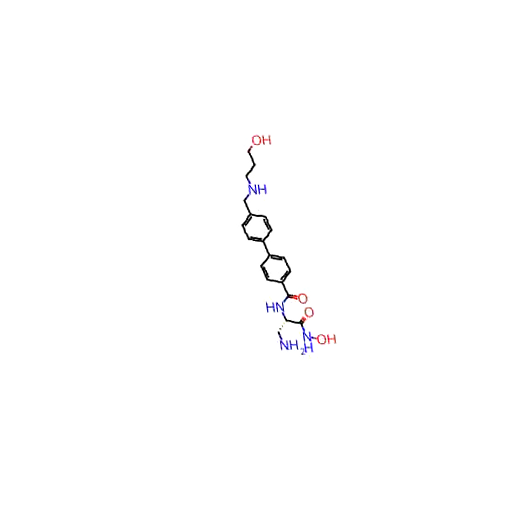 NC[C@H](NC(=O)c1ccc(-c2ccc(CNCCCO)cc2)cc1)C(=O)NO